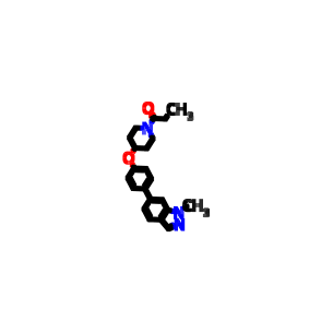 CCC(=O)N1CCC(Oc2ccc(-c3ccc4cnn(C)c4c3)cc2)CC1